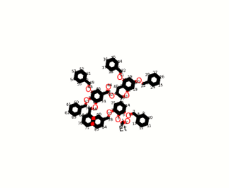 CCC(=O)Oc1c(OCc2ccccc2)cc([C@H]2Oc3cc(OCc4ccccc4)cc(OCc4ccccc4)c3C[C@H]2OC(=O)c2cc(OCc3ccccc3)c(OCc3ccccc3)c(OCc3ccccc3)c2)cc1OCc1ccccc1